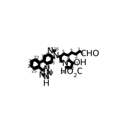 O=CCCCCCC(CN1CC(O)C[C@H]1C(=O)O)n1cnc2cc(-c3ccccc3-c3nn[nH]n3)ccc21